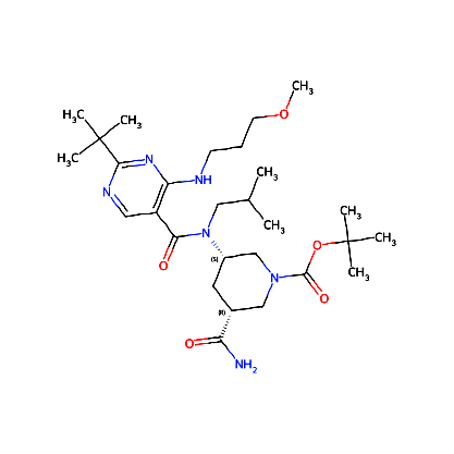 COCCCNc1nc(C(C)(C)C)ncc1C(=O)N(CC(C)C)[C@H]1C[C@@H](C(N)=O)CN(C(=O)OC(C)(C)C)C1